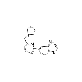 c1cc(CN2CCCC2)nc(-c2ccc3nccnc3c2)c1